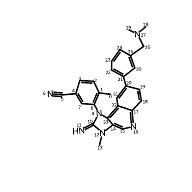 Cc1ccc(C#N)cc1-n1c(=N)n(C)c2cnc3ccc(-c4cccc(CN(C)C)c4)cc3c21